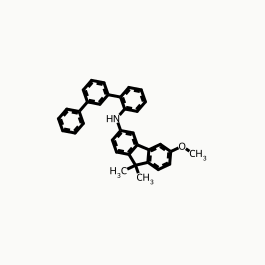 COc1ccc2c(c1)-c1cc(Nc3ccccc3-c3cccc(-c4ccccc4)c3)ccc1C2(C)C